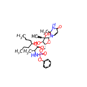 C#C[C@@]1(O)[C@H](O)[C@@H](COP(=O)(N[C@@H](C)C(=O)OC(CCC)CCC)Oc2ccccc2)O[C@H]1N1C=CC(=O)NC1=C